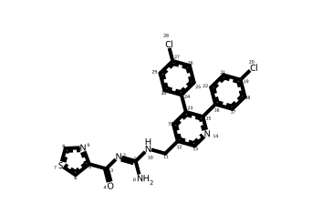 N/C(=N\C(=O)c1cscn1)NCc1cnc(-c2ccc(Cl)cc2)c(-c2ccc(Cl)cc2)c1